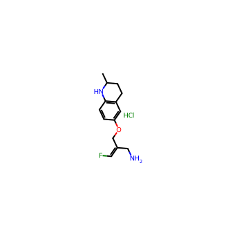 CC1CCc2cc(OC/C(=C\F)CN)ccc2N1.Cl